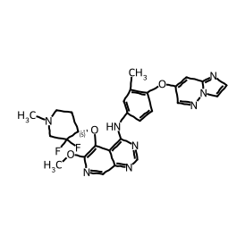 COc1ncc2ncnc(Nc3ccc(Oc4cnn5ccnc5c4)c(C)c3)c2c1O[C@H]1CCN(C)CC1(F)F